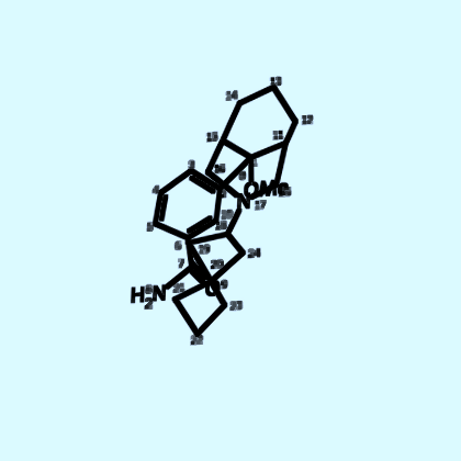 COC1(c2cccc(C(N)=O)c2)C2CCCC1CN(C1CC3(CCC3)C1)C2